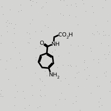 NC1=CC=C(C(=O)NCC(=O)O)C=CC1